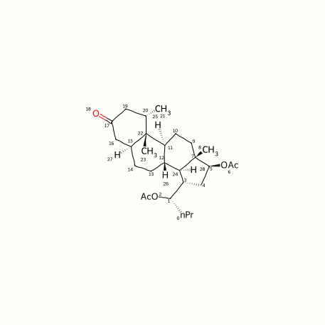 CCC[C@H](OC(C)=O)[C@H]1C[C@H](OC(C)=O)[C@@]2(C)CC[C@H]3[C@@H](CC[C@H]4CC(=O)C[C@H](C)[C@@]43C)[C@H]12